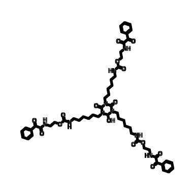 O=C(NCCCCCCN1C(=O)N(CCCCCCNC(=O)OCCNC(=O)C(=O)c2ccccc2)C(O)N(CCCCCCNC(=O)OCCNC(=O)C(=O)c2ccccc2)C1=O)OCCNC(=O)C(=O)c1ccccc1